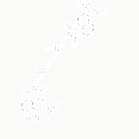 CC(C)N(CCCNCCN1C(=O)c2cccc3c(N)c([N+](=O)[O-])cc(c23)C1=O)CCN1C(=O)c2cccc3c(N)c([N+](=O)[O-])cc(c23)C1=O